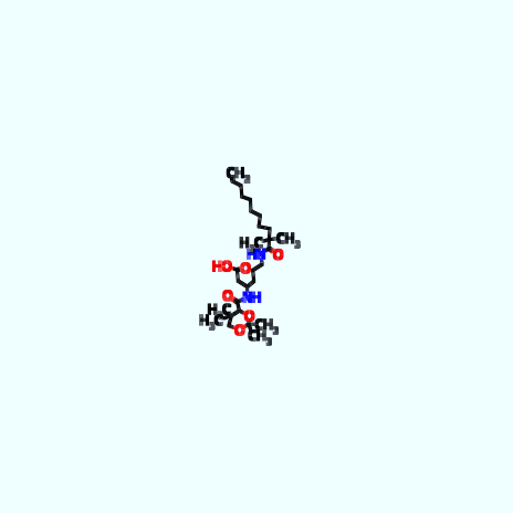 C=CCCCCCCCC(C)(C)C(=O)NCCCC(CC(=O)O)NC(=O)C1OC(C)(C)OCC1(C)C